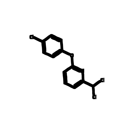 Clc1ccc(Oc2cccc(C(Cl)Cl)n2)cc1